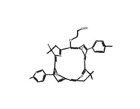 COCCOc1c2nc(cc3[nH]c(cc4nc(cc5[nH]c1cc5-c1ccc(C)cc1)C(C)(C)C4)cc3-c1ccc(C)cc1)C(C)(C)C2